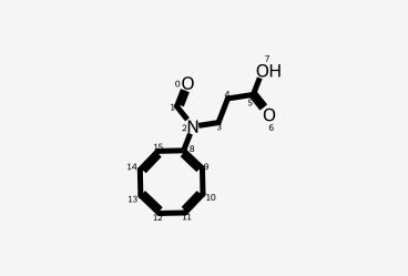 O=CN(CCC(=O)O)C1=CC=CC=CC=C1